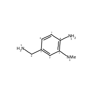 CNc1cc(CN)ccc1N